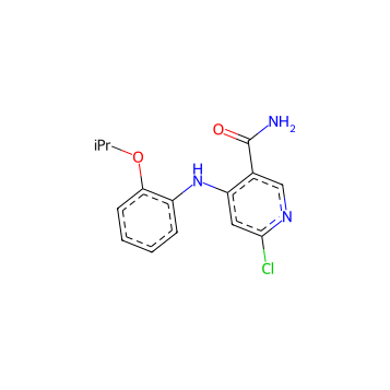 CC(C)Oc1ccccc1Nc1cc(Cl)ncc1C(N)=O